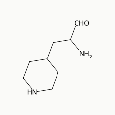 NC([C]=O)CC1CCNCC1